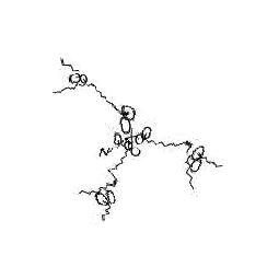 CCCCCCC(C/C=C\CCCCCCCC(=O)OCC(COC(=O)CCCCCCC/C=C\CC(CCCCCC)OC(=O)CCCCC)(COC(=O)CCCCCCC/C=C\C[C@@H](CCCCCC)OC(=O)CCCCC)COC(=O)CCCN(C)C)OC(=O)CCCCC